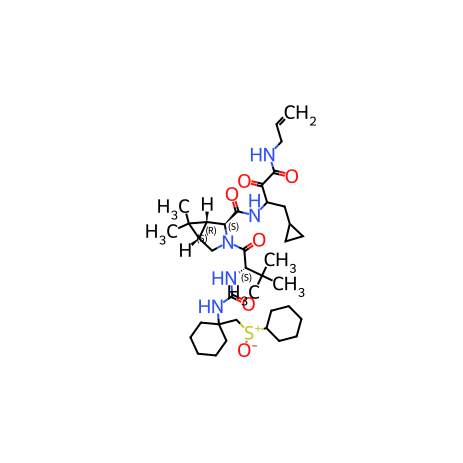 C=CCNC(=O)C(=O)C(CC1CC1)NC(=O)[C@@H]1[C@@H]2[C@H](CN1C(=O)[C@@H](NC(=O)NC1(C[S+]([O-])C3CCCCC3)CCCCC1)C(C)(C)C)C2(C)C